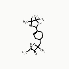 CNC(=O)C(C)(C)CC1CC=C(C2BC(C)(C)C(C)(C)B2)CC1